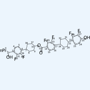 CCCC(O)c1ccc(C2CCC(OC(=O)c3ccc(C4CCC(c5ccc(O)c(F)c5F)CC4)c(F)c3F)CC2)c(F)c1F